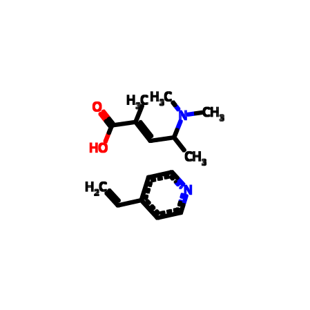 C=Cc1ccncc1.CC(=CC(C)N(C)C)C(=O)O